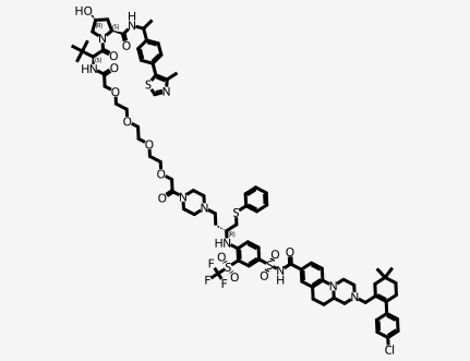 Cc1ncsc1-c1ccc(C(C)NC(=O)[C@@H]2C[C@@H](O)CN2C(=O)[C@@H](NC(=O)COCCOCCOCCOCC(=O)N2CCN(CC[C@H](CSc3ccccc3)Nc3ccc(S(=O)(=O)NC(=O)c4ccc5c(c4)CCC4CN(CC6=C(c7ccc(Cl)cc7)CCC(C)(C)C6)CCN54)cc3S(=O)(=O)C(F)(F)F)CC2)C(C)(C)C)cc1